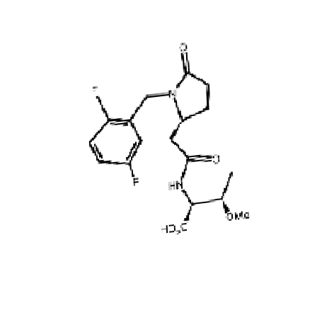 CO[C@H](C)[C@H](NC(=O)C[C@@H]1CCC(=O)N1Cc1cc(F)ccc1F)C(=O)O